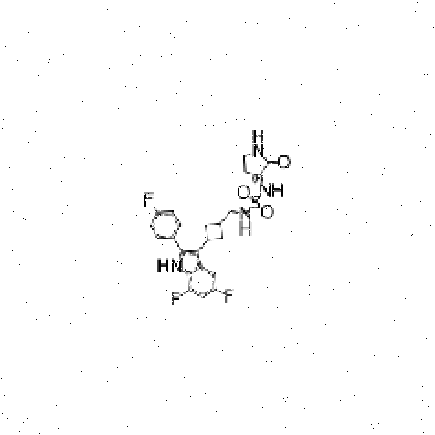 O=C1NCC[C@H]1NS(=O)(=O)NCC1CC(c2c(-c3ccc(F)cc3)[nH]c3c(F)cc(F)cc23)C1